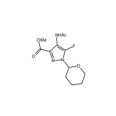 COC(=O)c1nn(C2CCCCO2)c(F)c1NC(C)=O